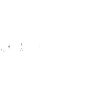 CCCCCCCCCCc1ccc(CNCCCP(=O)(O)O)cc1